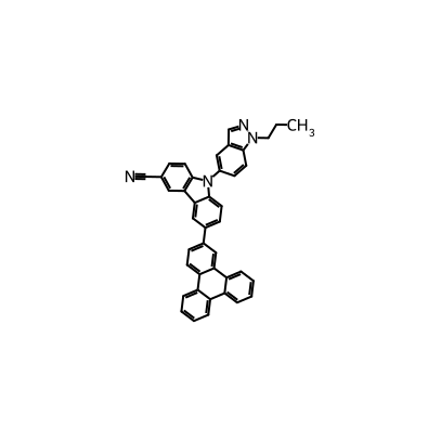 CCCn1ncc2cc(-n3c4ccc(C#N)cc4c4cc(-c5ccc6c7ccccc7c7ccccc7c6c5)ccc43)ccc21